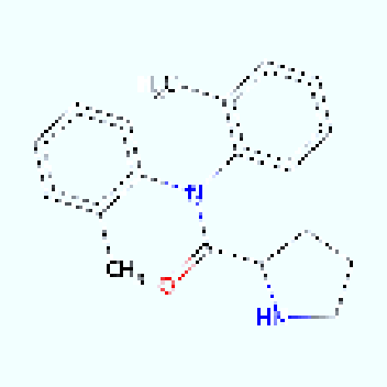 Cc1ccccc1N(C(=O)C1CCCN1)c1ccccc1C